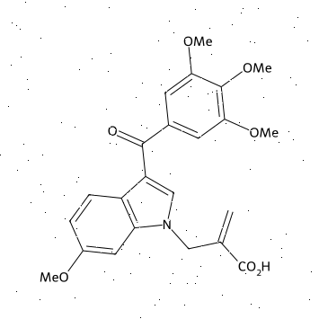 C=C(Cn1cc(C(=O)c2cc(OC)c(OC)c(OC)c2)c2ccc(OC)cc21)C(=O)O